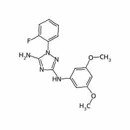 COc1cc(Nc2nc(N)n(-c3ccccc3F)n2)cc(OC)c1